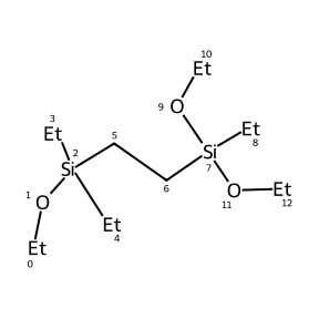 CCO[Si](CC)(CC)CC[Si](CC)(OCC)OCC